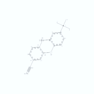 CC(C)(C)c1ccc2c(c1)Nc1ccc(C#N)cc1O2